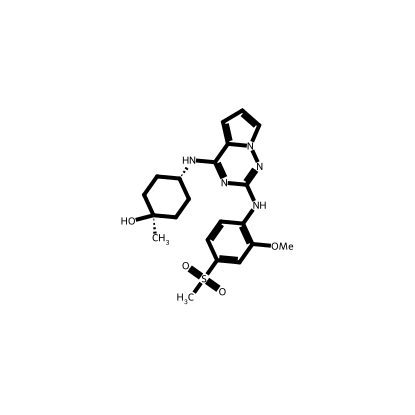 COc1cc(S(C)(=O)=O)ccc1Nc1nc(N[C@H]2CC[C@](C)(O)CC2)c2cccn2n1